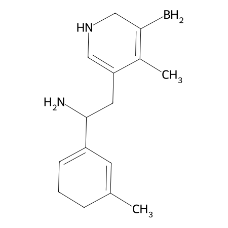 BC1=C(C)C(CC(N)C2=CCCC(C)=C2)=CNC1